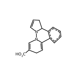 O=C(O)C1=CN2C(=CC1)c1ccccc1C1CC=CN12